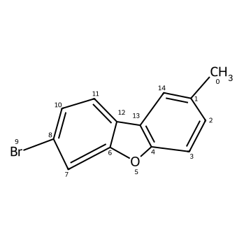 Cc1ccc2oc3cc(Br)ccc3c2c1